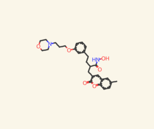 Cc1ccc2oc(=O)c(CC(CCc3cccc(OCCCN4CCOCC4)c3)C(=O)NO)cc2c1